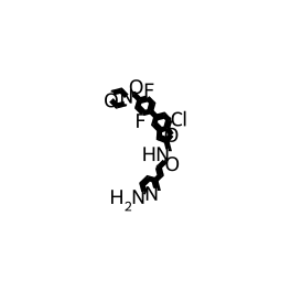 Nc1ccc(C=CC(=O)NCc2cc3cc(-c4cc(F)c(C(=O)N5CCOCC5)cc4F)cc(Cl)c3o2)cn1